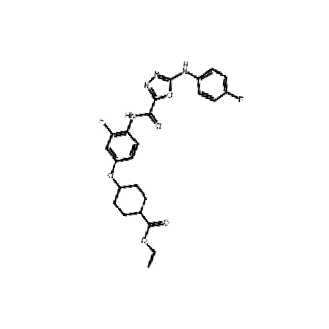 CCOC(=O)C1CCC(Oc2ccc(NC(=O)c3nnc(Nc4ccc(F)cc4)o3)c(F)c2)CC1